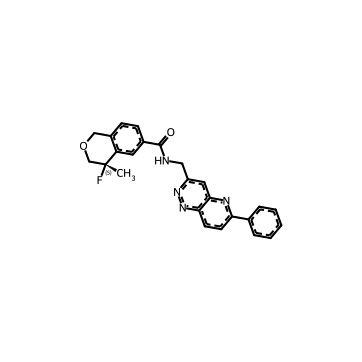 C[C@@]1(F)COCc2ccc(C(=O)NCc3cc4nc(-c5ccccc5)ccc4nn3)cc21